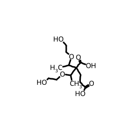 CC(OCCO)C(CCC(=O)O)(C(=O)O)C(C)OCCO